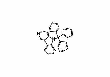 c1ccc(C(c2ccccc2)(c2ccccc2)n2c3ccncc3c3cccnc32)cc1